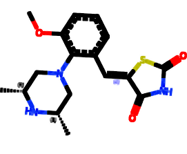 COc1cccc(/C=C2\SC(=O)NC2=O)c1N1C[C@@H](C)N[C@@H](C)C1